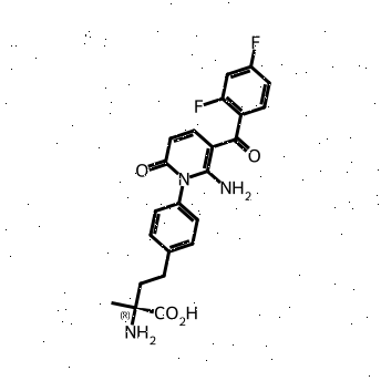 C[C@@](N)(CCc1ccc(-n2c(N)c(C(=O)c3ccc(F)cc3F)ccc2=O)cc1)C(=O)O